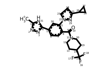 Cc1nnc(-c2ccc(C(=O)N3CCC(C(F)(F)F)CC3)c(-n3ccc(C4CC4)n3)c2)[nH]1